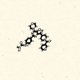 CNC(=O)Nc1ccc(-c2nc(N3CCOCC3)c3onc(C4CCN(C(=O)c5cccnc5)CC4)c3n2)cc1